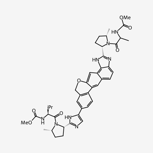 COC(=O)NC(C)C(=O)N1[C@@H](C)CC[C@H]1c1nc2ccc3cc4c(cc3c2[nH]1)OCc1cc(-c2cnc([C@@H]3CC[C@H](C)N3C(=O)[C@@H](NC(=O)OC)C(C)C)[nH]2)ccc1-4